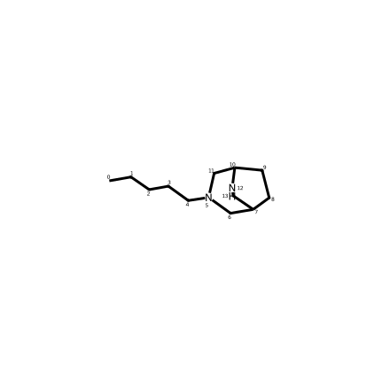 CCCCCN1CC2CCC(C1)NC2